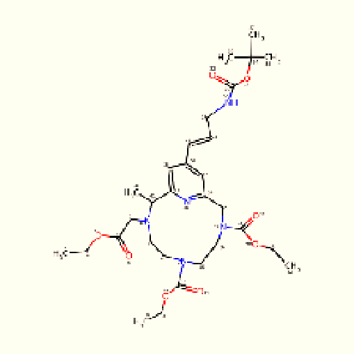 CCOC(=O)CN1CCN(C(=O)OCC)CCN(C(=O)OCC)Cc2cc(C=CCNC(=O)OC(C)(C)C)cc(n2)C1C